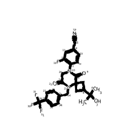 CC(C)(O)C1CC2(C1)C(=O)N(c1ccc(C#N)cc1F)CC(=O)N2Cc1ccc(C(F)(F)F)cc1